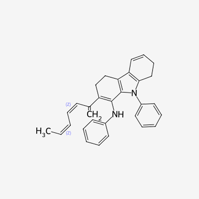 C=C(/C=C\C=C/C)C1=C(Nc2ccccc2)c2c(c3c(n2-c2ccccc2)CCC=C3)CC1